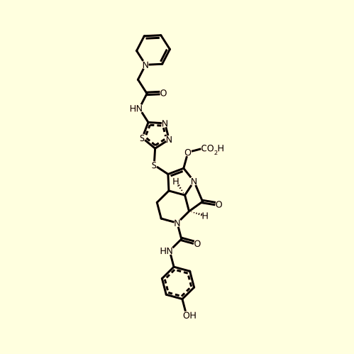 O=C(CN1C=CC=CC1)Nc1nnc(SC2=C(OC(=O)O)N3C(=O)[C@@H]4[C@H]3C2CCN4C(=O)Nc2ccc(O)cc2)s1